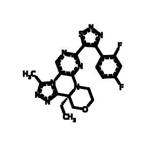 CC[C@@]12COCCN1c1nc(-c3snnc3-c3ccc(F)cc3F)ncc1-n1c(C)nnc12